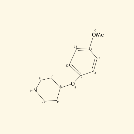 COc1ccc(OC2CC[N]CC2)cc1